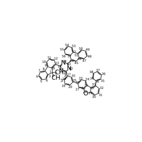 CC1(C)c2ccccc2-c2cccc(-c3nc(-c4cccc(-c5ccc6c(c5)oc5cccc(-c7ccccc7)c56)c4)nc(-c4cc5ccccc5c5ccccc45)n3)c21